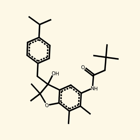 Cc1c(NC(=O)CC(C)(C)C)cc2c(c1C)OC(C)(C)C2(O)Cc1ccc(C(C)C)cc1